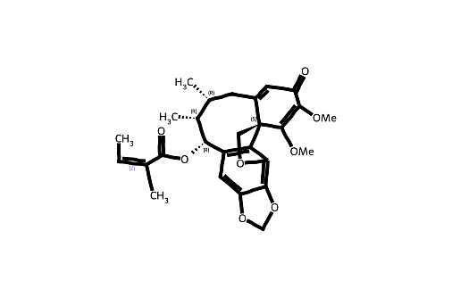 C/C=C(/C)C(=O)O[C@H]1c2cc3c(c4c2[C@]2(CO4)C(=CC(=O)C(OC)=C2OC)C[C@@H](C)[C@H]1C)OCO3